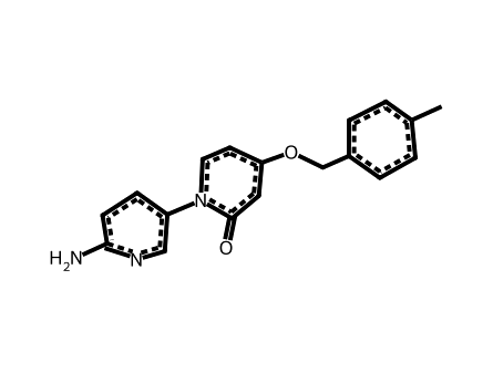 Cc1ccc(COc2ccn(-c3ccc(N)nc3)c(=O)c2)cc1